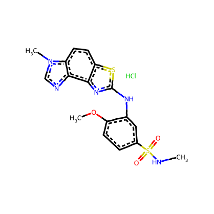 CNS(=O)(=O)c1ccc(OC)c(Nc2nc3c(ccc4c3ncn4C)s2)c1.Cl